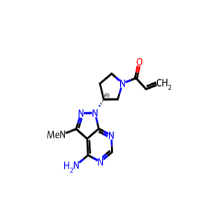 C=CC(=O)N1CC[C@@H](n2nc(NC)c3c(N)ncnc32)C1